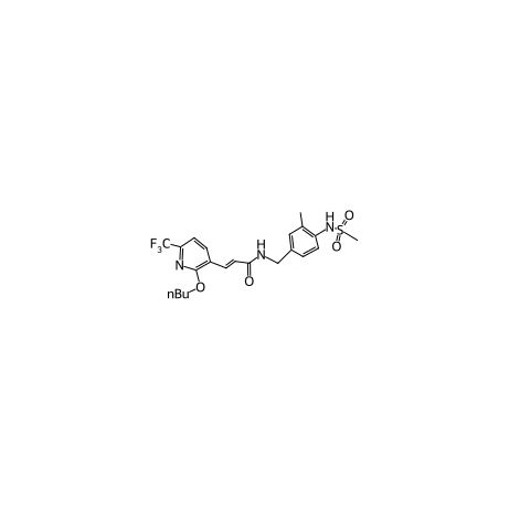 CCCCOc1nc(C(F)(F)F)ccc1C=CC(=O)NCc1ccc(NS(C)(=O)=O)c(C)c1